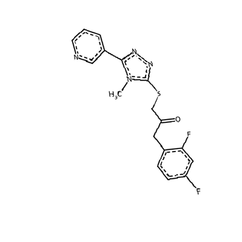 Cn1c(SCC(=O)Cc2ccc(F)cc2F)nnc1-c1cccnc1